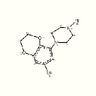 Oc1cc2c(c(N3CCN(Cl)CC3)c1)OCCO2